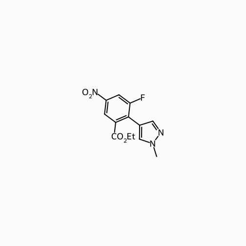 CCOC(=O)c1cc([N+](=O)[O-])cc(F)c1-c1cnn(C)c1